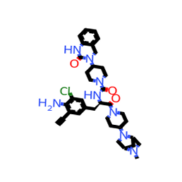 C#Cc1cc(C[C@@H](NC(=O)N2CCC(N3Cc4ccccc4NC3=O)CC2)C(=O)N2CCC(N3CC4CC3CN4C)CC2)cc(Cl)c1N